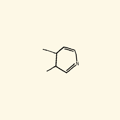 CC1C=CN=CC1C